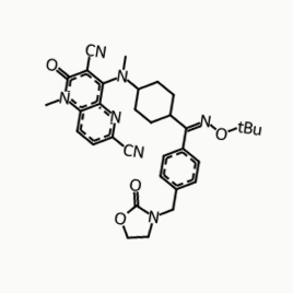 CN(c1c(C#N)c(=O)n(C)c2ccc(C#N)nc12)C1CCC(C(=NOC(C)(C)C)c2ccc(CN3CCOC3=O)cc2)CC1